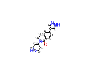 O=C1c2ccc(-c3cn[nH]c3)cc2CCN1C1CCNCC1